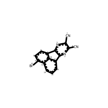 N#Cc1nc2c(nc1C#N)-c1ccc(Br)c3cccc-2c13